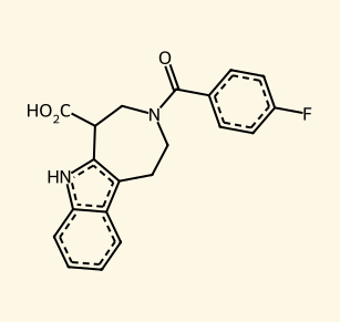 O=C(O)C1CN(C(=O)c2ccc(F)cc2)CCc2c1[nH]c1ccccc21